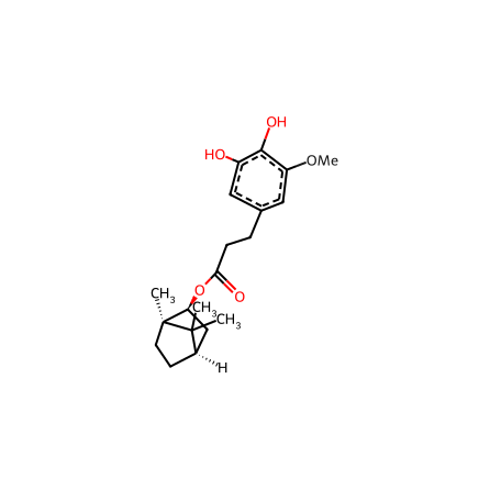 COc1cc(CCC(=O)O[C@H]2C[C@H]3CC[C@]2(C)C3(C)C)cc(O)c1O